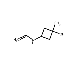 C=CNC1CC(C)(O)C1